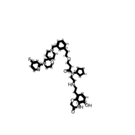 O=C1COc2c(CCNCCN(C(=O)CCOCCc3cccc(CN4CCC5(CC4)CN(c4cc(F)ccn4)CCO5)c3)C3CCCC3)ccc(O)c2N1